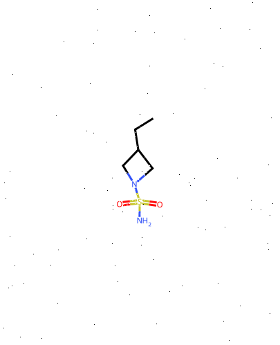 CCC1CN(S(N)(=O)=O)C1